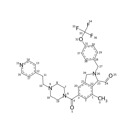 Cc1cc(C(=O)N2CCN(CCc3ccncc3)CC2)cc2c1C(C=O)N(Cc1ccc(OC(F)(F)F)cc1)C2